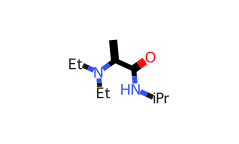 C=C(C(=O)NC(C)C)N(CC)CC